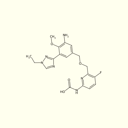 CCn1cnc(-c2cc(COCc3nc(NC(=O)O)ccc3F)cc(N)c2OC)n1